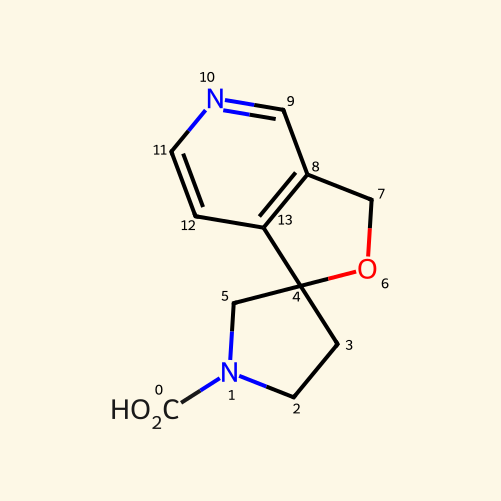 O=C(O)N1CCC2(C1)OCc1cnccc12